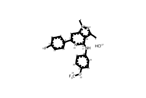 Cc1nn(C)c2cc(-c3ccc(F)cc3)nc(Nc3ccc(OC(F)(F)F)cc3)c12.Cl